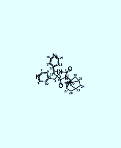 O=C1NC(Cc2ccncc2)(Cc2ccncc2)C(=O)N1C12CC3CC(CC(C3)C1)C2